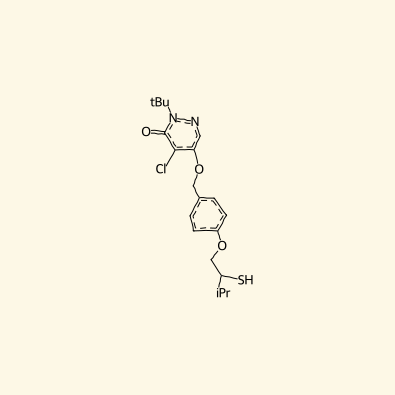 CC(C)C(S)COc1ccc(COc2cnn(C(C)(C)C)c(=O)c2Cl)cc1